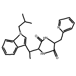 CC(C)Cn1cc(C(C)C2NC(=O)C(Cc3ccccn3)NC2=O)c2ccccc21